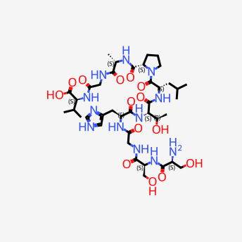 CC(C)C[C@H](NC(=O)[C@@H](NC(=O)[C@H](Cc1c[nH]cn1)NC(=O)CNC(=O)[C@H](CO)NC(=O)[C@@H](N)CO)[C@@H](C)O)C(=O)N1CCC[C@H]1C(=O)N[C@@H](C)C(=O)NCC(=O)N[C@H](C(=O)O)C(C)C